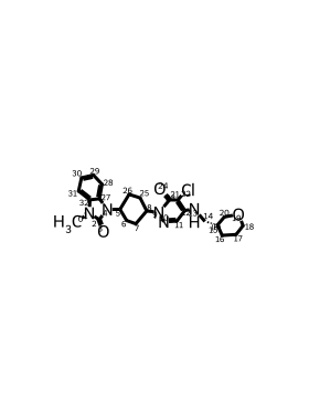 Cn1c(=O)n(C2CCC(n3ncc(NC[C@H]4CCCOC4)c(Cl)c3=O)CC2)c2ccccc21